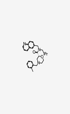 Cc1ccccc1CN1CCO[C@@H](C(=O)N(Cc2ccc3ncccc3c2)CC(C)C)C1